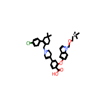 CC1(C)CCC(CN2CC=C(c3ccc(C(=O)O)c(Oc4ccc5c(ccn5COCC[Si](C)(C)C)c4)c3)CC2)=C(c2ccc(Cl)cc2)C1